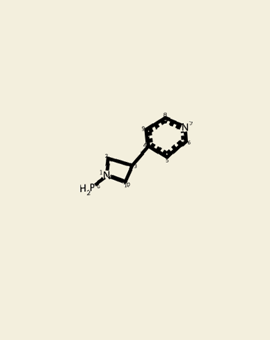 PN1CC(c2ccncc2)C1